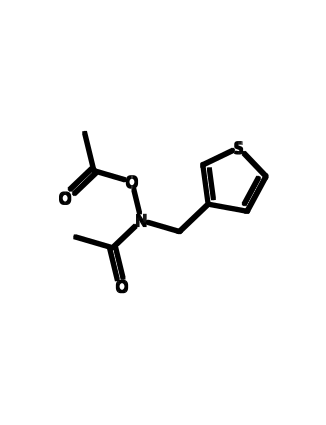 CC(=O)ON(Cc1ccsc1)C(C)=O